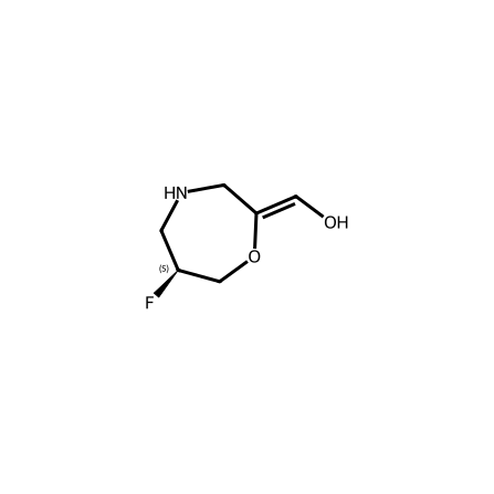 OC=C1CNC[C@H](F)CO1